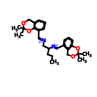 CCCC(C/N=C/c1cccc2c1OC(C)(C)OC2)/N=C/c1cccc2c1COC(C)(C)O2